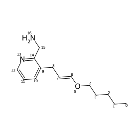 CCCCCOC=CCc1cccnc1CN